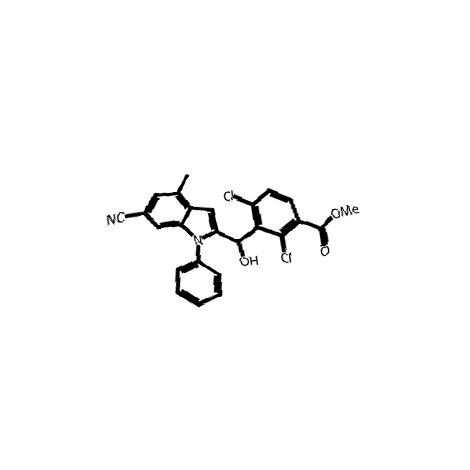 COC(=O)c1ccc(Cl)c(C(O)c2cc3c(C)cc(C#N)cc3n2-c2ccccc2)c1Cl